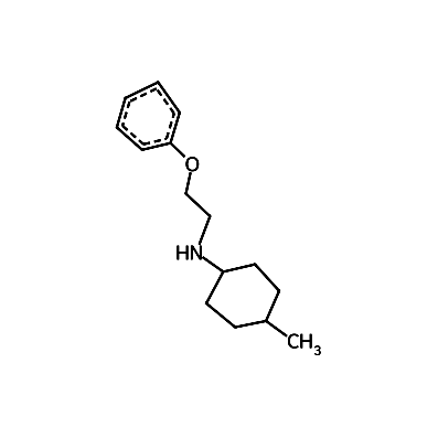 CC1CCC(NCCOc2ccccc2)CC1